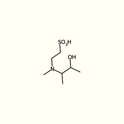 CC(O)C(C)N(C)CCS(=O)(=O)O